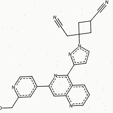 N#CCC1(n2ccc(-c3nc(-c4ccnc(CO)c4)cc4ncccc34)n2)CC(C#N)C1